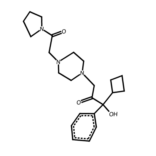 O=C(CN1CCN(CC(=O)C(O)(c2ccccc2)C2CCC2)CC1)N1CCCC1